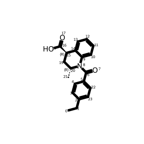 CCc1ccc(C(=O)N2c3ccccc3[C@H](C(=O)O)C[C@H]2C)cc1